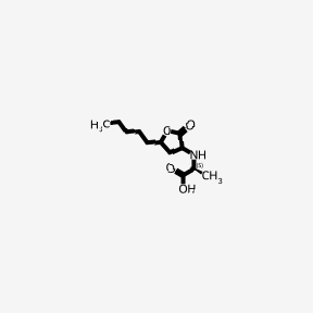 CCCCCC1CC(N[C@@H](C)C(=O)O)C(=O)O1